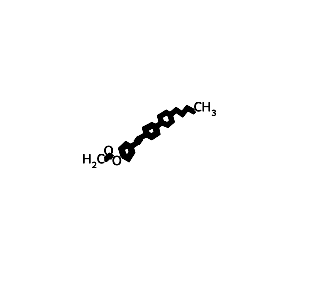 C=CC(=O)Oc1ccc(C#Cc2ccc(C3CCC(CCCCC)CC3)cc2)cc1